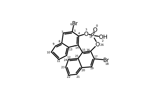 O=P1(O)Oc2c(Br)cc3ccccc3c2-c2c(c(Br)cc3ccccc23)O1